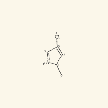 CC1C=C(Cl)C=N1